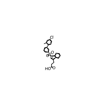 Cc1cc(Cl)ccc1-c1cccc(S(=O)(=O)n2cc(CCC(=O)O)c3ccccc32)c1